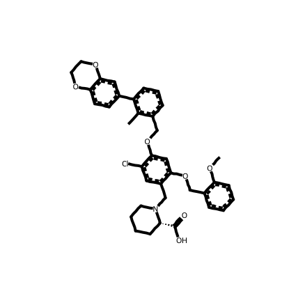 COc1ccccc1COc1cc(OCc2cccc(-c3ccc4c(c3)OCCO4)c2C)c(Cl)cc1CN1CCCC[C@H]1C(=O)O